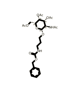 CC(=O)N[C@H]1[C@H](OCCCNC(=O)OCc2ccccc2)O[C@H](COC(C)=O)[C@H](OC(C)=O)[C@@H]1OC(C)=O